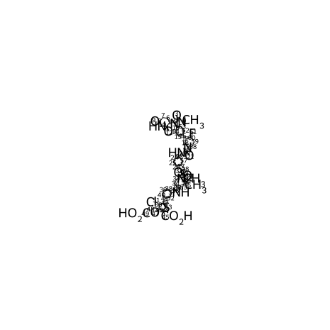 Cn1c(=O)n(C2CCC(=O)NC2=O)c2ccc(C3CN(C(=O)Nc4cccc(CS(=O)(=O)N5CC[C@H](Nc6cccc(-c7sc(C(=O)O)c(OCC(=O)O)c7Cl)c6)CC5(C)C)c4)CCC3F)cc21